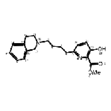 COC(=O)c1nc(CCCCN2CCc3ccccc3C2)ccc1O